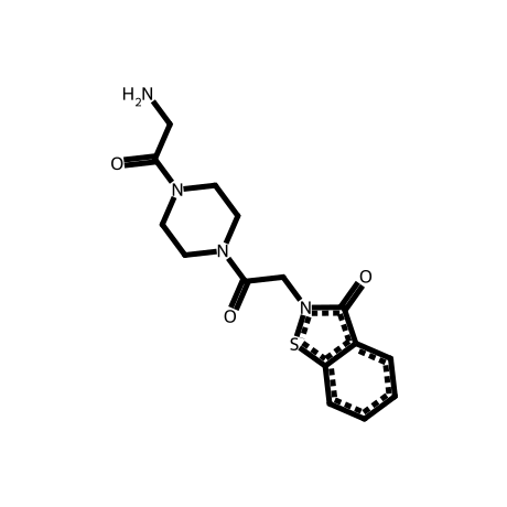 NCC(=O)N1CCN(C(=O)Cn2sc3ccccc3c2=O)CC1